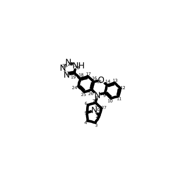 CN1C2CCC1CC(N1c3ccccc3Oc3cc(-c4nnn[nH]4)ccc31)C2